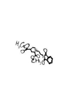 COC(=O)C1CCN(CCN2C(=O)c3ccccc3C2=O)C(C(=O)OC)C1